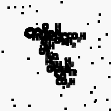 CCC(N)C(=O)NC(CCC(=O)O)C(=O)NCC(=O)NCC(=O)NCC(=O)NC(Cc1ccccc1)C(=O)NCC(=O)N[C@@H](CC(=O)O)C(N)=O